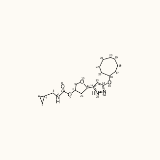 O=C(NCC1CC1)OC1COC(c2cc(OC3CCCCCCC3)n[nH]2)C1